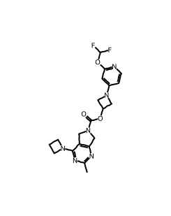 Cc1nc2c(c(N3CCC3)n1)CN(C(=O)OC1CN(c3ccnc(OC(F)F)c3)C1)C2